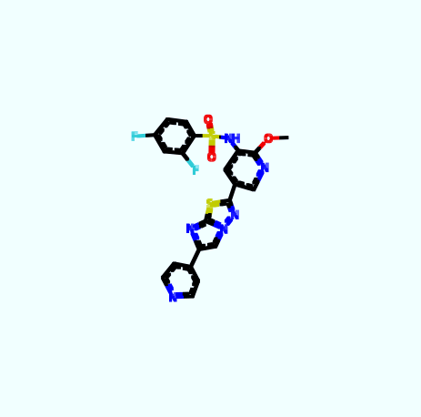 COc1ncc(-c2nn3cc(-c4ccncc4)nc3s2)cc1NS(=O)(=O)c1ccc(F)cc1F